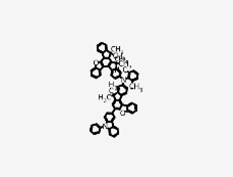 Cc1cccc(C)c1N(c1ccc2c(c1)C(C)(C)c1cc(-c3ccc4c(c3)c3ccccc3n4-c3ccccc3)c3oc4ccccc4c3c1-2)c1ccc2c(c1)C(C)(C)c1c3c(c4oc5ccccc5c4c1-2)-c1ccccc1C3(C)C